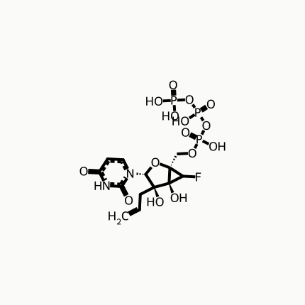 C=CC[C@]1(O)[C@H](n2ccc(=O)[nH]c2=O)O[C@@]2(COP(=O)(O)OP(=O)(O)OP(=O)(O)O)C(F)[C@@]21O